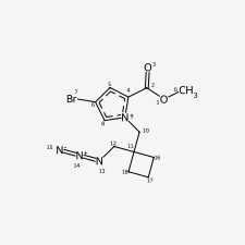 COC(=O)c1cc(Br)cn1CC1(CN=[N+]=[N-])CCC1